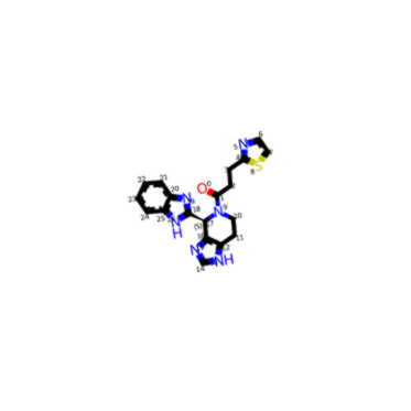 O=C(CCc1nccs1)N1CCc2[nH]cnc2[C@H]1c1nc2ccccc2[nH]1